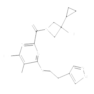 Cc1nc(C(=O)N2CC(O)(C3CC3)C2)nc(NCCc2cn[nH]c2)c1C